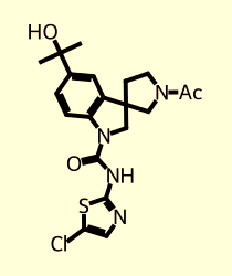 CC(=O)N1CCC2(C1)CN(C(=O)Nc1ncc(Cl)s1)c1ccc(C(C)(C)O)cc12